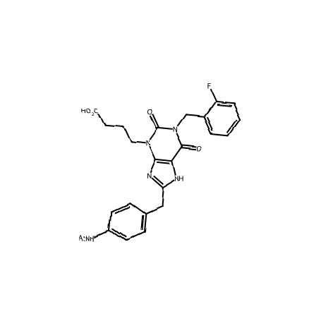 CC(=O)Nc1ccc(Cc2nc3c([nH]2)c(=O)n(Cc2ccccc2F)c(=O)n3CCCC(=O)O)cc1